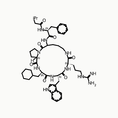 CC(C)CC(=O)N[C@@H](Cc1ccccc1)C(=O)NC1CCCNC(=O)[C@H](CCCNC(=N)N)NC(=O)[C@H](Cc2c[nH]c3ccccc23)NC(=O)[C@@H](CC2CCCCC2)NC(=O)[C@@H]2CCCN2C1=O